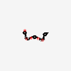 C[Si](C)(CCOCC1CCC(COCC[Si](C)(C)O[Si](C)(C)CCC2CCC3OC3C2)CC1)O[Si](C)(C)CCC1CCC2CC2C1